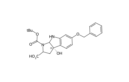 CC(C)(C)OC(=O)N1C(C(=O)O)C[C@]2(O)c3ccc(OCc4ccccc4)cc3NC12